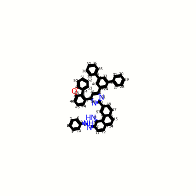 N=C1/C(=N\Nc2ccccc2)C=Cc2ccc3ccc(-c4nc(-c5cc(-c6ccccc6)cc(-c6ccccc6)c5)cc(-c5cccc6oc7ccccc7c56)n4)cc3c21